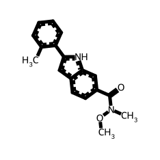 CON(C)C(=O)c1ccc2cc(-c3ccccc3C)[nH]c2c1